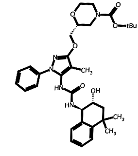 Cc1c(OC[C@H]2CN(C(=O)OC(C)(C)C)CCO2)nn(-c2ccccc2)c1NC(=O)N[C@@H]1c2ccccc2C(C)(C)C[C@H]1O